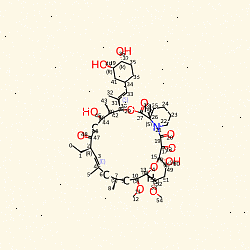 CC[C@@H]1/C=C(\C)C[C@H](C)C[C@H](OC)[C@H]2O[C@@](O)(C(=O)C(=O)N3CCCC[C@H]3C(=O)O[C@H](/C(C)=C/C3CC[C@@H](O)[C@H](O)C3)[C@H](C)[C@H](O)CC1=O)[C@H](C)C[C@@H]2OC